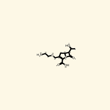 CC(O)C1C(=O)N2C(C(=O)O)=C(COCCN)CC12